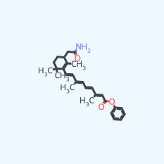 CC1=C(/C=C/C(C)=C/C=C/C(C)=C/C(=O)Oc2ccccc2)C(C)(C)CCC1CC(N)=O